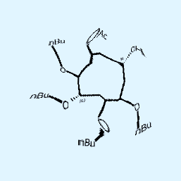 CCCCOC1C(OCCCC)[C@H](OCCCC)C(OCCCC)C(OC(C)=O)[C@@H]1O